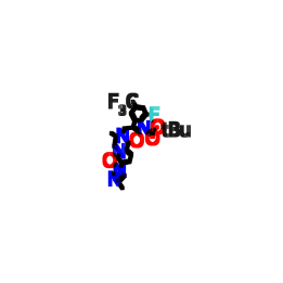 Cc1cn(-c2ccc3n(c2=O)CC(C)N(Cc2cn(C(=O)OC(C)(C)C)c4c(F)cc(C(F)(F)F)cc24)C3=O)cn1